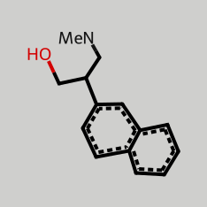 CNCC(CO)c1ccc2ccccc2c1